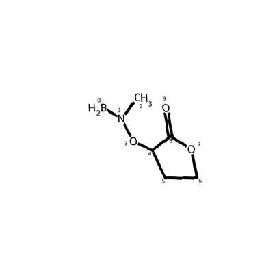 BN(C)OC1CCOC1=O